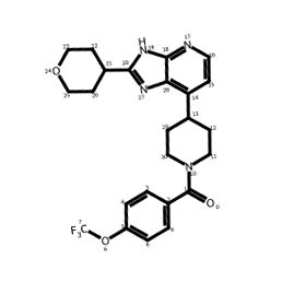 O=C(c1ccc(OC(F)(F)F)cc1)N1CCC(c2ccnc3[nH]c(C4CCOCC4)nc23)CC1